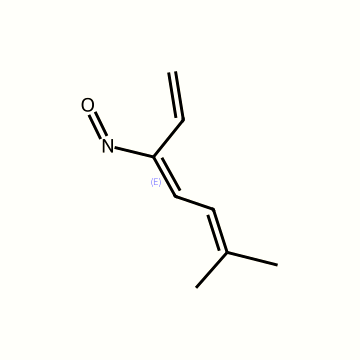 C=C/C(=C\C=C(C)C)N=O